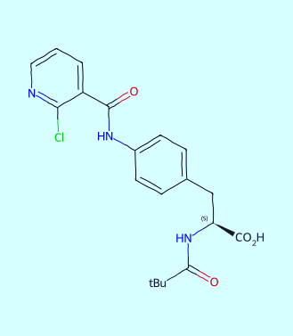 CC(C)(C)C(=O)N[C@@H](Cc1ccc(NC(=O)c2cccnc2Cl)cc1)C(=O)O